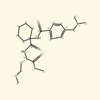 COC(=O)[C@H](CCSC)NC(=O)C1(NC(=O)c2ccc(CN(C)C)cc2)CCCCC1